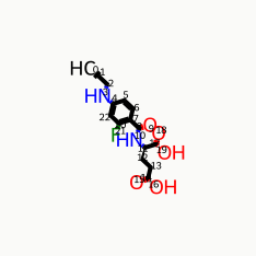 C#CCNc1ccc(C(=O)N[C@H](CCC(=O)O)C(=O)O)c(F)c1